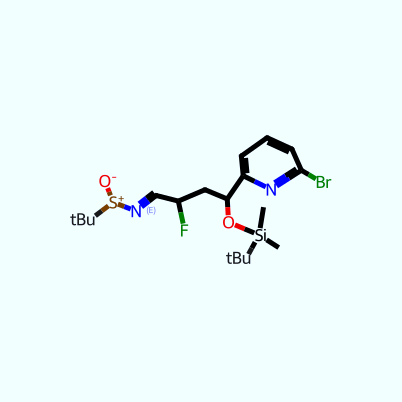 CC(C)(C)[S+]([O-])/N=C/C(F)CC(O[Si](C)(C)C(C)(C)C)c1cccc(Br)n1